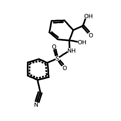 N#Cc1cccc(S(=O)(=O)NC2(O)C=CC=CC2C(=O)O)c1